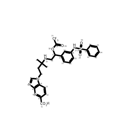 CC(C)(CCn1cnc2nc(C(=O)O)ccc21)NCC(OC(=O)C(F)(F)F)c1cccc(NS(=O)(=O)c2ccccc2)c1